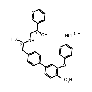 C[C@H](Cc1ccc(-c2ccc(C(=O)O)c(Oc3ccccc3)c2)cc1)NC[C@H](O)c1cccnc1.Cl.Cl